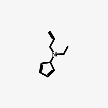 C=C[CH2][Ni]([CH2]C)[CH]1C=CC=C1